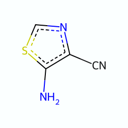 N#Cc1ncsc1N